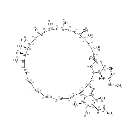 CNC(=O)N[C@H]1C2C[C@@H](O[C@@H]3O[C@H](C)[C@@H](O)[C@H](NNN)[C@@H]3O)/C=C/C=C/C=C/C=C/C=C/C=C/C=C/C(C)[C@@H](O)[C@@H](C)[C@H](C)OC(=O)C[C@H](O)C[C@H](O)CC[C@@H](O)[C@H](O)C[C@H](O)C[C@](O)(C[C@@H]1O)O2